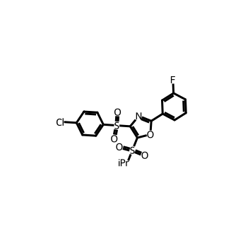 CC(C)S(=O)(=O)c1oc(-c2cccc(F)c2)nc1S(=O)(=O)c1ccc(Cl)cc1